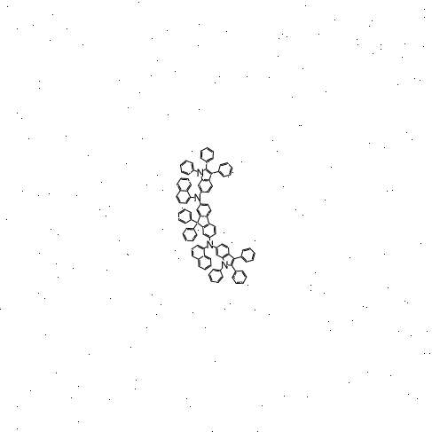 c1ccc(-c2c(-c3ccccc3)n(-c3ccccc3)c3cc(N(c4ccc5c(c4)C(c4ccccc4)(c4ccccc4)c4cc(N(c6ccc7c(-c8ccccc8)c(-c8ccccc8)n(-c8ccccc8)c7c6)c6cccc7ccccc67)ccc4-5)c4cccc5ccccc45)ccc23)cc1